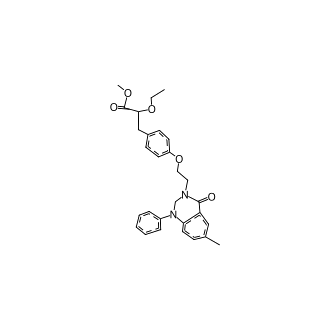 CCOC(Cc1ccc(OCCN2CN(c3ccccc3)c3ccc(C)cc3C2=O)cc1)C(=O)OC